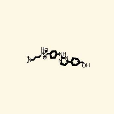 CN(C)CCCNS(=O)(=O)c1ccc(Nc2nccc(-c3ccc(CO)cc3)n2)cc1